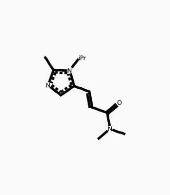 Cc1ncc(C=CC(=O)N(C)C)n1C(C)C